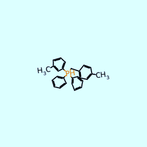 Cc1ccc(C[PH](c2ccccc2)(c2ccccc2)c2cccc(C)c2)cc1